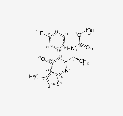 Cc1csc2nc([C@H](C)NC(=O)OC(C)(C)C)c(-c3cccc(F)c3)c(=O)n12